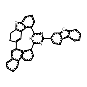 C1=C(c2ccc3ccccc3c2)CCc2oc3cccc(-c4nc(-c5ccccc5)nc(-c5ccc6c(c5)oc5ccccc56)n4)c3c21